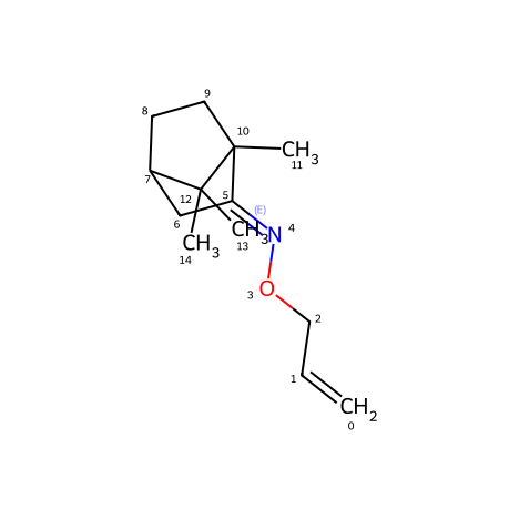 C=CCO/N=C1\CC2CCC1(C)C2(C)C